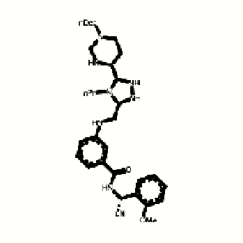 CCCCCCCCCCN1CCC(C2NNC(CNc3cccc(C(=O)N[C@@H](C#N)c4ccccc4OC)c3)N2CCC)NC1